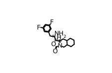 N[C@@H](Cc1cc(F)cc(F)c1)[C@@H]1OC(=O)N2CC3CCCCC3C[C@@H]12